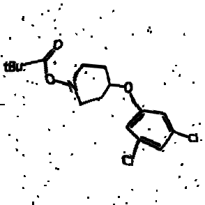 CC(C)(C)C(=O)ON1CCC(Oc2cc(Cl)cc(Cl)c2)CC1